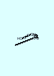 CCCCCCCCCCCCCCCCON1C(=O)CCC1=O.OCCOCCOCCO